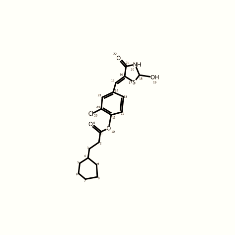 O=C(CCC1CCCCC1)Oc1ccc(/C=C2\SC(O)NC2=O)cc1Cl